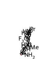 COC(=O)[C@H](CCC(=O)NCCOC1(OCCN)CCCCC1)NC(=O)c1ccc(N(Cc2ccc3nc(NC(=O)C(C)C)[nH]c(=O)c3c2)C(=O)C(F)(F)F)cc1